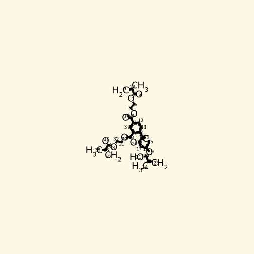 C=C(C)C(=O)OCCOC(=O)c1ccc(-c2ccc(OC(O)C(=C)C)cc2)c(C(=O)OCCOC(=O)C(=C)C)c1